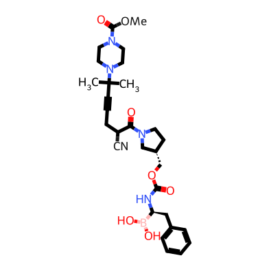 COC(=O)N1CCN(C(C)(C)C#CCC(C#N)C(=O)N2CC[C@H](COC(=O)N[C@@H](Cc3ccccc3)B(O)O)C2)CC1